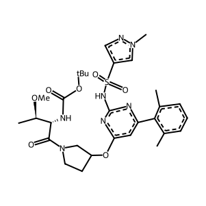 CO[C@H](C)[C@H](NC(=O)OC(C)(C)C)C(=O)N1CCC(Oc2cc(-c3c(C)cccc3C)nc(NS(=O)(=O)c3cnn(C)c3)n2)C1